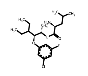 CCC(CC)[C@H](Oc1cc(F)cc(Cl)c1)[C@H](C)OC(=O)[C@@H](N)CC(C)C